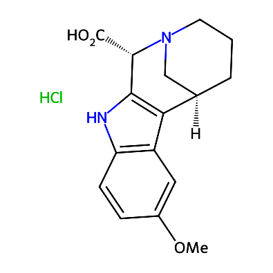 COc1ccc2[nH]c3c(c2c1)[C@@H]1CCCN(C1)[C@H]3C(=O)O.Cl